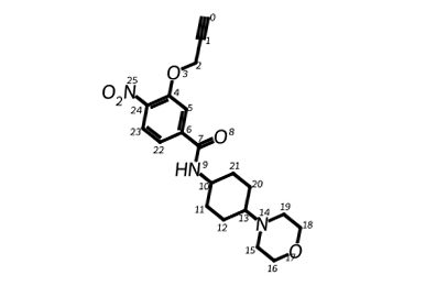 C#CCOc1cc(C(=O)NC2CCC(N3CCOCC3)CC2)ccc1[N+](=O)[O-]